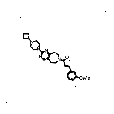 COc1cccc(/C=C/C(=O)N2CCc3cnc(N4CCN(C5CCC5)CC4)nc3CC2)c1